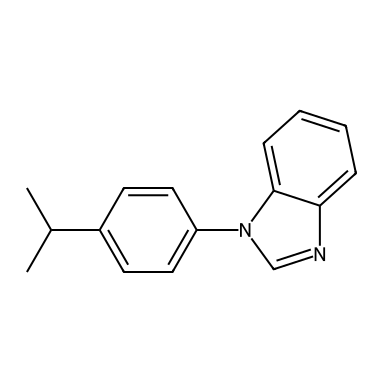 CC(C)c1ccc(-n2cnc3ccccc32)cc1